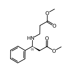 COC(=O)CCN[C@@H](CC(=O)OC)c1ccccc1